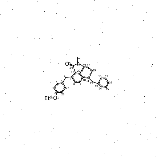 CCOc1ccc(Cc2ccc3c(Cc4ccccc4)ccc4c3c2C(=O)N4)cc1